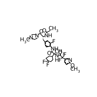 CCC(=O)N[C@H](Cc1ccc(NC(=O)[C@](C)(NC(=O)C(F)(F)c2ccc(OC)nc2)C2CCC(F)(F)CC2)c(F)c1)C(=O)N1CCN(C)CC1